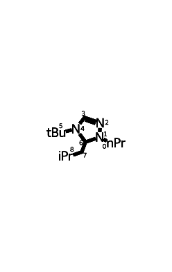 CCCN1N=CN(C(C)(C)C)C1CC(C)C